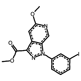 COC(=O)c1nn(-c2cccc(I)c2)c2cnc(OC)cc12